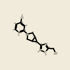 ClCc1nc(C2C3CN(c4cc(Cl)ccn4)CC32)no1